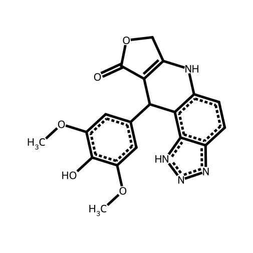 COc1cc(C2C3=C(COC3=O)Nc3ccc4nn[nH]c4c32)cc(OC)c1O